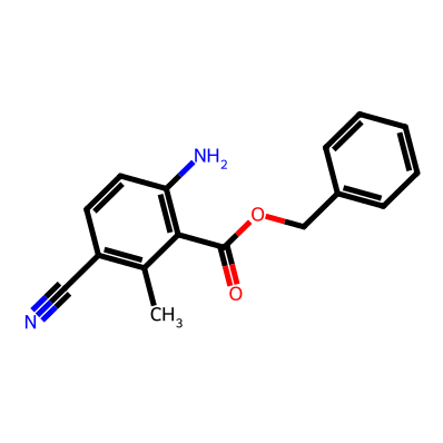 Cc1c(C#N)ccc(N)c1C(=O)OCc1ccccc1